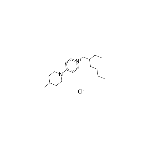 CCCCC(CC)C[n+]1ccc(N2CCC(C)CC2)cc1.[Cl-]